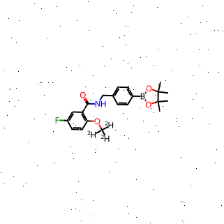 [2H]C([2H])([2H])Oc1ccc(F)cc1C(=O)NCc1ccc(B2OC(C)(C)C(C)(C)O2)cc1